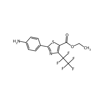 CCOC(=O)c1sc(-c2ccc(N)cc2)nc1C(F)(F)C(F)(F)F